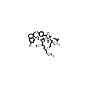 C=CC[C@H](C)[C@@H](CC1CC1)S(=O)(=O)NC(=O)c1ccc2c(c1)N(C[C@@H]1CC[C@H]1[C@@H](O)/C=C/CCC)C[C@@]1(CCCc3cc(Cl)ccc31)CO2